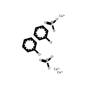 O=[PH]([O-])[O-].O=[PH]([O-])[O-].[Ca+2].[Ca+2].[Ca+2].[O-]c1ccccc1.[O-]c1ccccc1